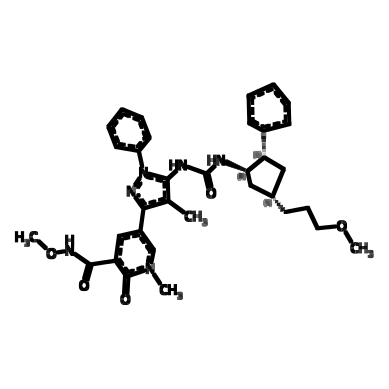 COCCC[C@@H]1C[C@@H](NC(=O)Nc2c(C)c(-c3cc(C(=O)NOC)c(=O)n(C)c3)nn2-c2ccccc2)[C@H](c2ccccc2)C1